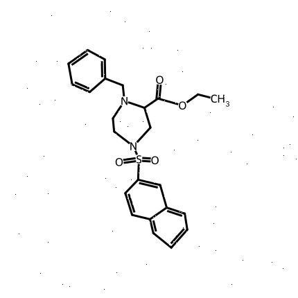 CCOC(=O)C1CN(S(=O)(=O)c2ccc3ccccc3c2)CCN1Cc1ccccc1